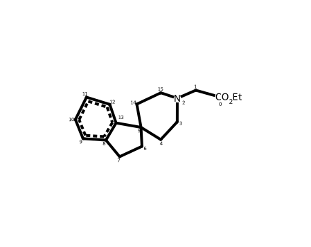 CCOC(=O)CN1CCC2(CCc3ccccc32)CC1